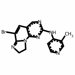 Cc1cnccc1Nc1ncc2c(n1)N1CCN=C1C(Br)=C2